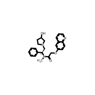 CN(C(=O)COc1ccc2ncccc2c1)[C@H](CN1CCC(O)C1)c1ccccc1